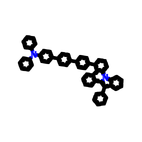 c1ccc(-c2c3ccccc3n3c4cccc(-c5ccc(-c6ccc(-c7ccc(N(c8ccccc8)c8ccccc8)cc7)cc6)cc5)c4c4ccccc4c23)cc1